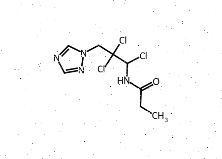 CCC(=O)NC(Cl)C(Cl)(Cl)Cn1cncn1